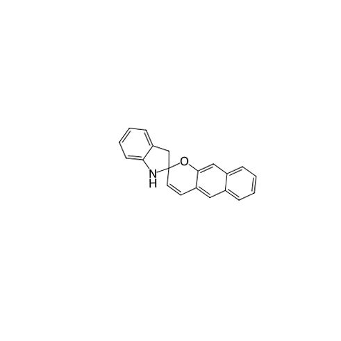 C1=CC2(Cc3ccccc3N2)Oc2cc3ccccc3cc21